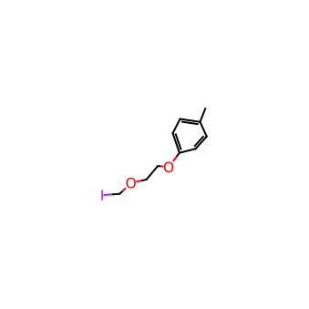 Cc1ccc(OCCOCI)cc1